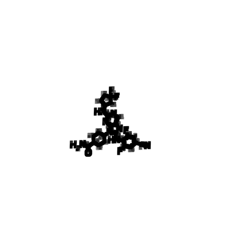 N#Cc1cc(F)c(Nc2nc3cnc(N[C@H]4CCC(F)(F)C4)nc3n2C2CCC(C(N)=O)CC2)c(F)c1